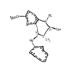 COc1ccc2c(n1)[C@H](Nc1ccccc1)[C@@H](C)[C@H](O)N2C(C)=O